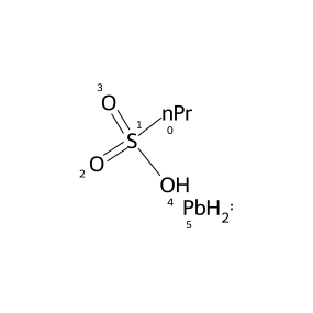 CCCS(=O)(=O)O.[PbH2]